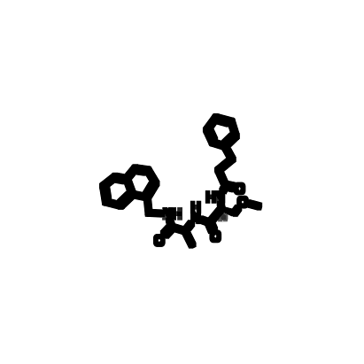 COC[C@H](NC(=O)CCc1ccccc1)C(=O)NC(C)C(=O)NCc1cccc2ccccc12